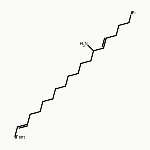 CCCCCC=CCCCCCCCCCCC(N)C=CCCCC(C)C